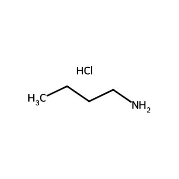 CCCCN.Cl